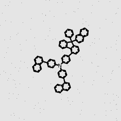 c1ccc(C2(c3ccc4ccccc4c3)c3ccccc3-c3c(-c4ccc(N(c5ccc(-c6cccc7ccccc67)cc5)c5ccc(-c6cccc7ccccc67)cc5)cc4)cccc32)cc1